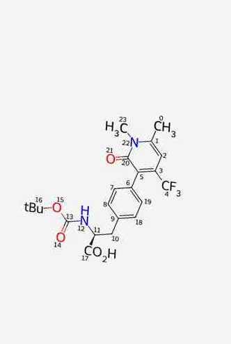 Cc1cc(C(F)(F)F)c(-c2ccc(C[C@H](NC(=O)OC(C)(C)C)C(=O)O)cc2)c(=O)n1C